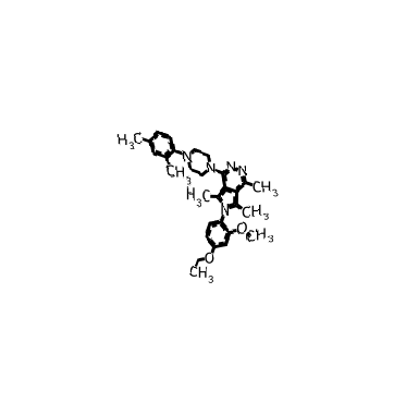 CCOc1ccc(-n2c(C)c3c(C)nnc(N4CCN(c5ccc(C)cc5C)CC4)c3c2C)c(OC)c1